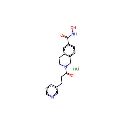 Cl.O=C(NO)c1ccc2c(c1)CCN(C(=O)CCc1cccnc1)C2